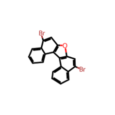 Brc1cc2oc3cc(Br)c4ccccc4c3c2c2ccccc12